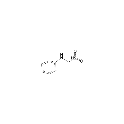 O=[SH](=O)CNc1cc[c]cc1